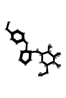 CCc1ccc(Cc2ccccc2O[C@@H]2S[C@H](CO)[C@@H](O)[C@H](O)[C@H]2O)cc1